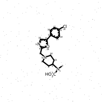 CN(C(=O)O)C1CCN(Cc2ncc(-c3ccc(Cl)cc3)o2)CC1